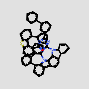 C1=CC2c3ccc4c5cccc6c5n(c4c3N(c3nc(-c4cccc(-c5ccccc5)c4)nc(-c4cccc5sc7cccc(-c8ccccc8)c7c45)n3)C2C=C1)-c1ccccc1-c1ccccc1-6